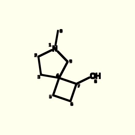 CN1CCC2(CCC2O)C1